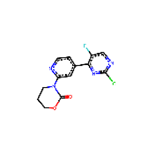 O=C1OCCCN1c1cc(-c2nc(Cl)ncc2F)ccn1